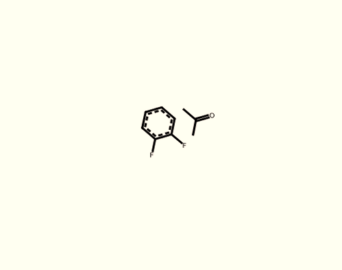 CC(C)=O.Fc1ccccc1F